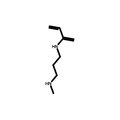 C=CC(=C)NCCCNC